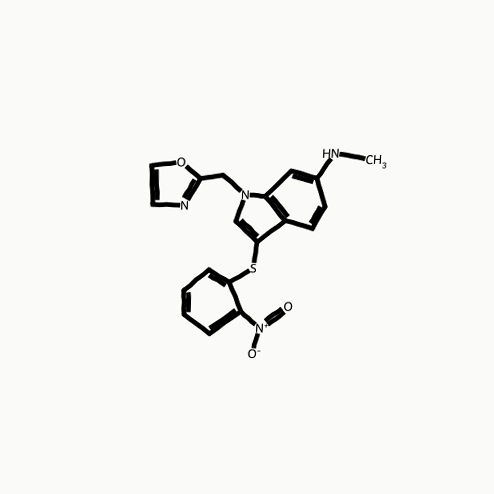 CNc1ccc2c(Sc3ccccc3[N+](=O)[O-])cn(Cc3ncco3)c2c1